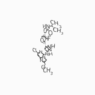 COCc1cn2c(Nc3cc([C@@H]4OC[C@H](OC(=O)NC(C)C)[C@H]4F)[nH]n3)nc(Cl)cc2n1